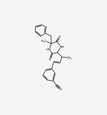 CC(C=Cc1cccc(C#N)c1)C1NC(=O)C(C)(Cc2ccccc2)NC1=O